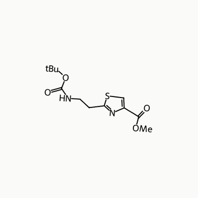 COC(=O)c1csc(CCNC(=O)OC(C)(C)C)n1